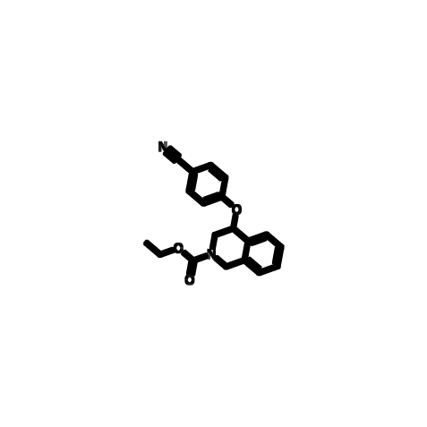 CCOC(=O)N1Cc2ccccc2C(Oc2ccc(C#N)cc2)C1